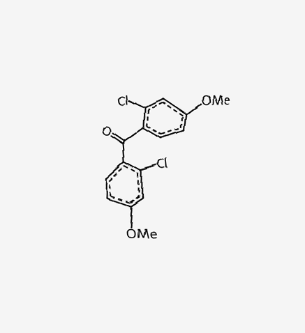 COc1ccc(C(=O)c2ccc(OC)cc2Cl)c(Cl)c1